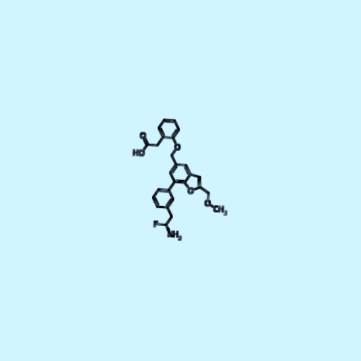 COCc1cc2cc(COc3ccccc3CC(=O)O)cc(-c3cccc(C[C@@H](N)F)c3)c2o1